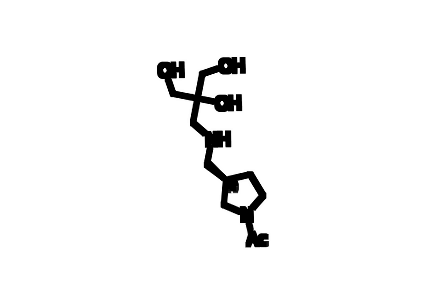 CC(=O)N1CC[C@H](CNCC(O)(CO)CO)C1